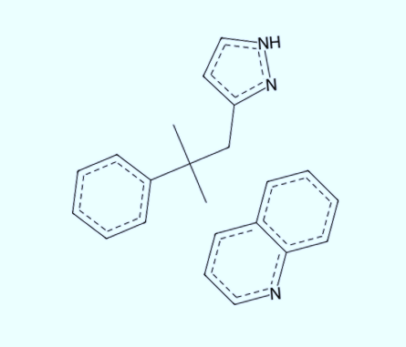 CC(C)(Cc1cc[nH]n1)c1ccccc1.c1ccc2ncccc2c1